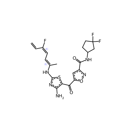 C=C/C(F)=C\C=C(/C)Nc1nc(N)c(C(=O)c2cc(C(=O)NC3CCC(F)(F)C3)no2)s1